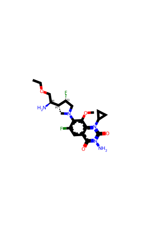 CCOC[C@H](N)[C@H]1CN(c2c(F)cc3c(=O)n(N)c(=O)n(C4CC4)c3c2OC)C[C@H]1F